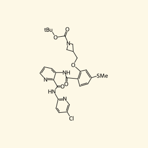 CSc1ccc(C(=O)Nc2cccnc2C(=O)Nc2ccc(Cl)cn2)c(OCC2CN(C(=O)OC(C)(C)C)C2)c1